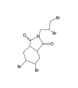 O=C1C2CC(Br)C(Br)CC2C(=O)N1CC(Br)CBr